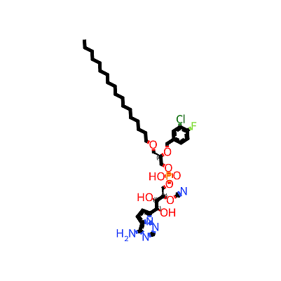 CCCCCCCCCCCCCCCCCCOC[C@H](COP(=O)(O)OC[C@@H](OC#N)[C@@H](O)[C@@H](O)c1ccc2c(N)ncnn12)OCc1ccc(F)c(Cl)c1